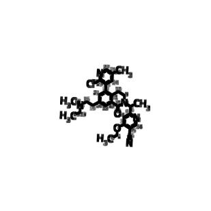 CCOc1cc(C(C)N2CCc3c(cc(CCN(C)CC)cc3-c3cc(C)cnc3Cl)C2=O)ncc1C#N